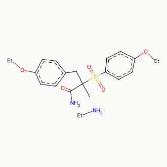 CCN.CCOc1ccc(CC(C)(C(N)=O)S(=O)(=O)c2ccc(OCC)cc2)cc1